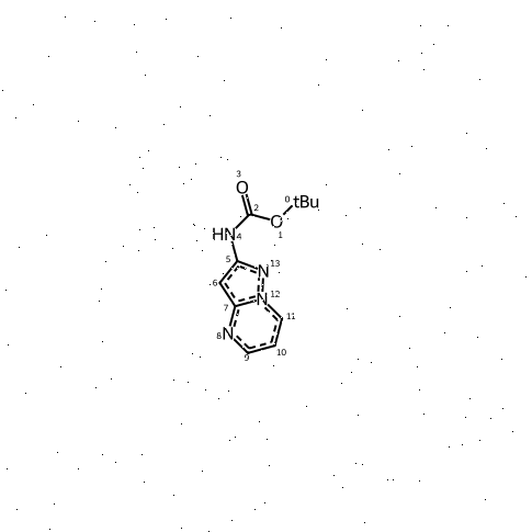 CC(C)(C)OC(=O)Nc1cc2ncccn2n1